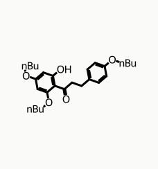 CCCCOc1ccc(CCC(=O)c2c(O)cc(OCCCC)cc2OCCCC)cc1